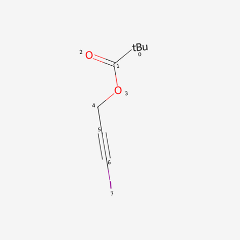 CC(C)(C)C(=O)OCC#CI